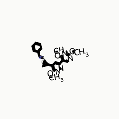 COc1ncc(-c2cc(C3C[C@@H]3/C=C/c3ccccc3)c(OC)nn2)c(OC)n1